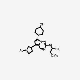 COC[C@H](C)Nc1ncc2c(C3CCN(C(C)=O)C3)cc([C@H]3CC[C@H](O)CC3)n2n1